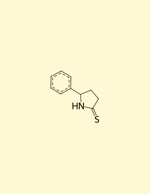 S=C1CCC(c2ccccc2)N1